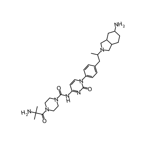 CC(Cc1ccc(-n2ccc(NC(=O)N3CCN(C(=O)C(C)(C)N)CC3)nc2=O)cc1)N1CC2CCC(N)CC2C1